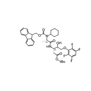 C[C@@H](C(=O)N[C@@H](CC(=O)OC(C)(C)C)C(O)COc1c(F)c(F)cc(F)c1F)N(C(=O)OCC1c2ccccc2-c2ccccc21)C1CCCCC1